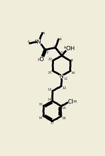 CC(C(=O)N(C)C)C1(O)CCN(CCc2ccccc2Cl)CC1